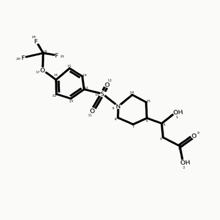 O=C(O)CC(O)C1CCN(S(=O)(=O)c2ccc(OC(F)(F)F)cc2)CC1